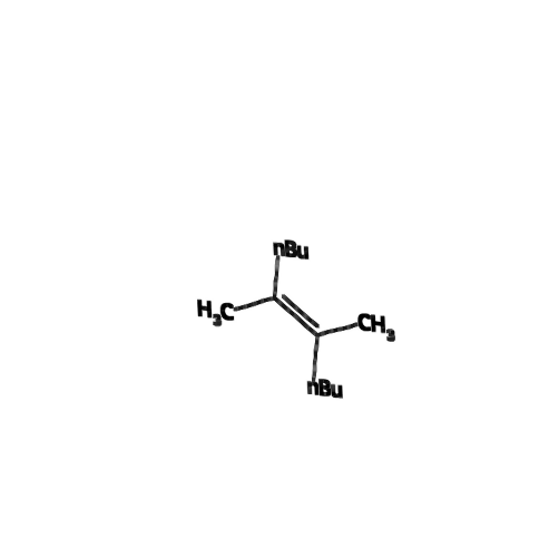 CCCCC(C)=C(C)CCCC